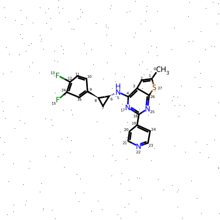 Cc1cc2c(N[C@@H]3C[C@H]3c3ccc(F)c(F)c3)nc(-c3ccncc3)nc2s1